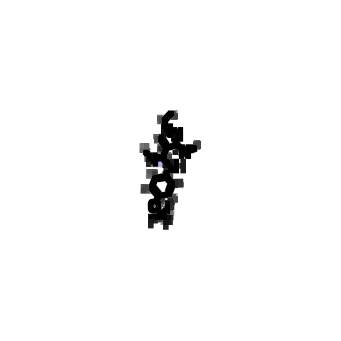 C=Nc1nn(CC)cc1/C(=N\C)Nc1ccc(OC(F)(F)F)cc1